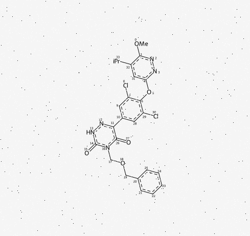 COc1nnc(Oc2c(Cl)cc(-c3n[nH]c(=O)n(COCc4ccccc4)c3=O)cc2Cl)cc1C(C)C